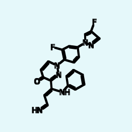 N=C/C=C(\Nc1ccccc1)c1nn(-c2ccc(-n3cc(F)cn3)cc2F)ccc1=O